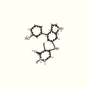 Cc1c(Nc2cc(-c3cccc(O)c3)c3cc[nH]c3c2)cnn(C)c1=O